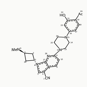 CN[C@H]1C[C@H](n2cc(C#N)c3ccc(N4CCN(c5ccc(C(C)=O)c(O)c5)CC4)nc32)C1